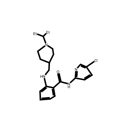 CCC(CC)N1CCC(CNc2ccccc2C(=O)Nc2ccc(Cl)cn2)CC1